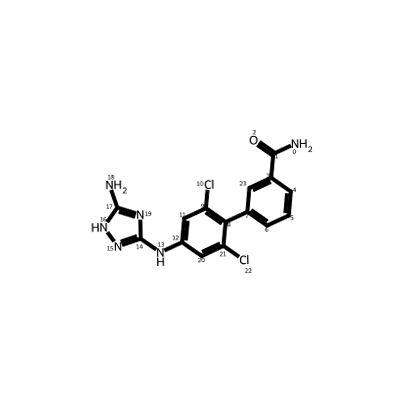 NC(=O)c1cccc(-c2c(Cl)cc(Nc3n[nH]c(N)n3)cc2Cl)c1